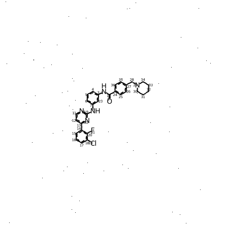 O=C(Nc1cccc(Nc2nccc(-c3cccc(Cl)c3F)n2)c1)c1ccc(CN2CCCCC2)cc1